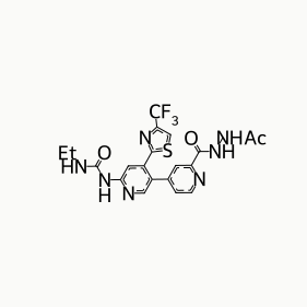 CCNC(=O)Nc1cc(-c2nc(C(F)(F)F)cs2)c(-c2ccnc(C(=O)NNC(C)=O)c2)cn1